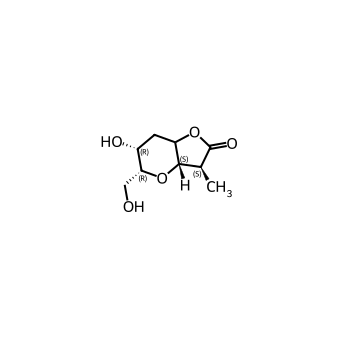 C[C@@H]1C(=O)OC2C[C@@H](O)[C@@H](CO)O[C@H]21